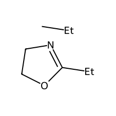 CCC.CCC1=NCCO1